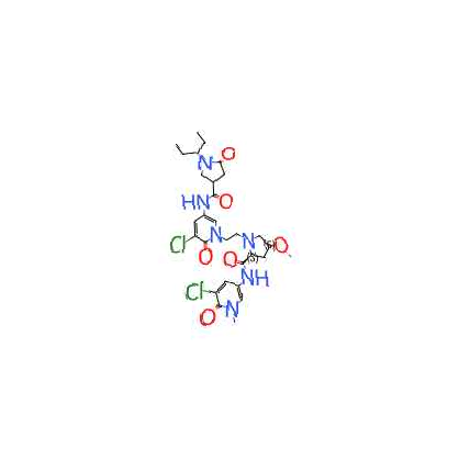 CCC(CC)N1CC(C(=O)Nc2cc(Cl)c(=O)n(CCN3C[C@@H](OC)C[C@H]3C(=O)Nc3cc(Cl)c(=O)n(C)c3)c2)CC1=O